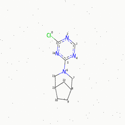 Clc1ncnc(N2CC3CCC(C3)C2)n1